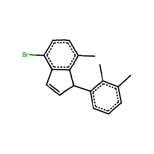 Cc1cccc(C2C=Cc3c(Br)ccc(C)c32)c1C